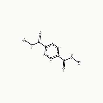 CCCOC(=O)c1ccc(C(=O)OC(C)C)cc1